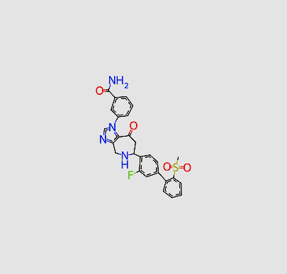 CS(=O)(=O)c1ccccc1-c1ccc(C2CC(=O)c3c(ncn3-c3cccc(C(N)=O)c3)CN2)c(F)c1